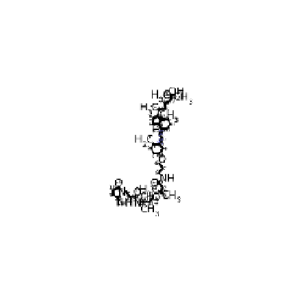 C=C1CC[C@H](OCCCNC(=O)CC(C)(C)OCCC(C)(C)NC(=O)CCN2C(=N)C=CC2=O)C/C1=C/C=C1\CCC[C@]2(C)C([C@H](C)CCCC(C)(C)O)CC[C@@H]12